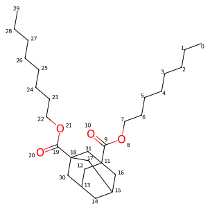 CCCCCCCCOC(=O)C12CC3CC(C1)CC(C(=O)OCCCCCCCC)(C3)C2